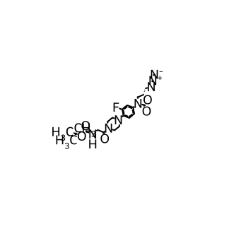 CC(C)(C)OC(=O)NCC(=O)N1CCN(c2ccc(N3C[C@H](CN=[N+]=[N-])OC3=O)cc2F)CC1